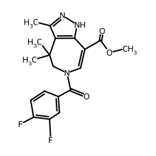 COC(=O)C1=CN(C(=O)c2ccc(F)c(F)c2)CC(C)(C)c2c(C)n[nH]c21